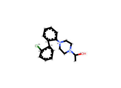 CC(O)N1CCN(c2ccccc2-c2ccccc2Cl)CC1